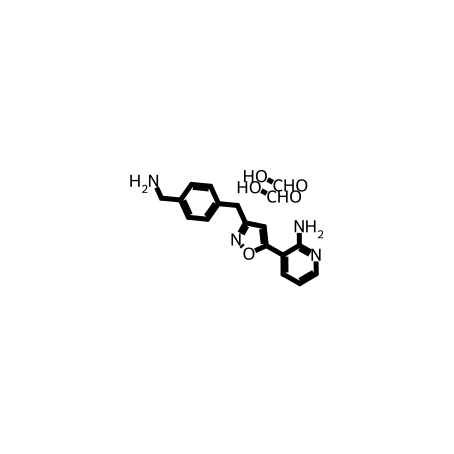 NCc1ccc(Cc2cc(-c3cccnc3N)on2)cc1.O=CO.O=CO